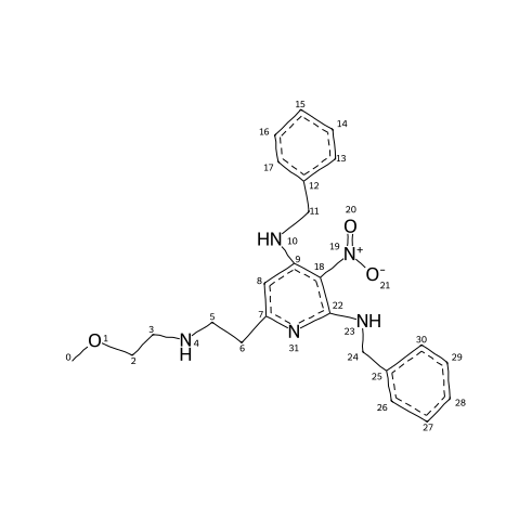 COCCNCCc1cc(NCc2ccccc2)c([N+](=O)[O-])c(NCc2ccccc2)n1